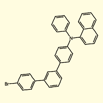 Brc1ccc(-c2cccc(-c3ccc(N(c4ccccc4)c4cccc5ccccc45)cc3)c2)cc1